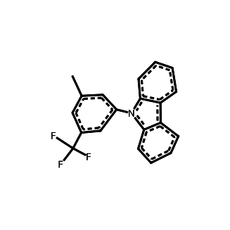 Cc1cc(-n2c3ccccc3c3ccccc32)cc(C(F)(F)F)c1